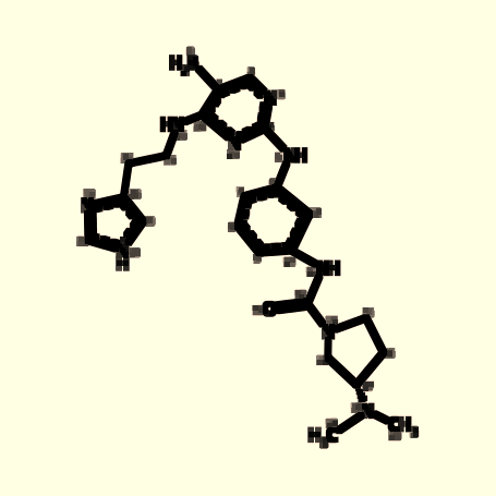 Bc1cnc(Nc2cccc(NC(=O)N3CC[C@H](N(C)C)C3)c2)nc1NCCc1c[nH]cn1